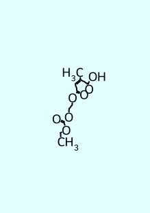 CCOC(=O)OCCOC(=O)C=C(C)C(=O)O